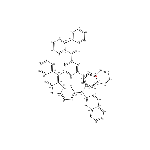 c1ccc(-c2nc(-c3cc4ccccc4c4ccccc34)nc(-c3c4ccccc4cc4oc5ccc(-n6c7cc8ccccc8cc7c7c8ccccc8ccc76)cc5c34)n2)cc1